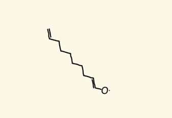 C=CCCCCCC/C=C/[O]